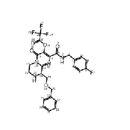 O=C(NCc1ccc(F)cc1)c1nc2n(c(=O)c1OC(=O)C(F)(F)F)CCNC2COCc1ccccc1